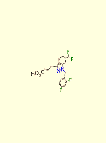 O=C(O)C=CCc1nn(Cc2ccc(F)cc2F)c2cc(C(F)F)ccc12